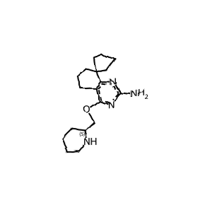 Nc1nc(OC[C@@H]2CCCCN2)c2c(n1)C1(CCCC1)CCC2